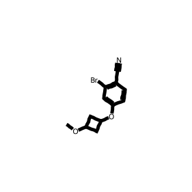 COC1CC(Oc2ccc(C#N)c(Br)c2)C1